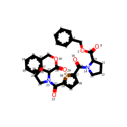 O=C(OCc1ccccc1)C1CCCN1C(=O)c1ccc(C(=O)N2CCCC2C(=O)OCc2ccccc2)s1